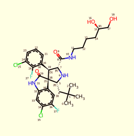 CC(C)(C)C[C@H]1N[C@@H](C(=O)NCCCC[C@@H](O)CO)[C@H](c2cccc(Cl)c2F)[C@@]12C(=O)Nc1cc(Cl)c(F)cc12